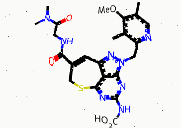 COc1c(C)cnc(Cn2nc3c4c(nc(NC(=O)O)nc42)SCC(C(=O)NCC(=O)N(C)C)=C3)c1C